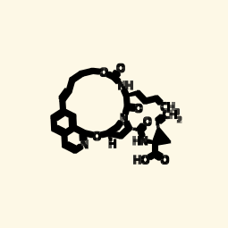 C=C[C@@H]1C[C@]1(NC(=O)[C@@H]1C[C@@H]2CN1C(=O)[C@H](CCCC)NC(=O)OCCC/C=C/c1ccc3ccnc(c3c1)O2)C(=O)O